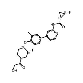 Cc1cc(-c2ccnc(NC(=O)[C@@H]3C[C@@H]3F)c2)ccc1O[C@H]1CCN(C(=O)CO)C[C@H]1F